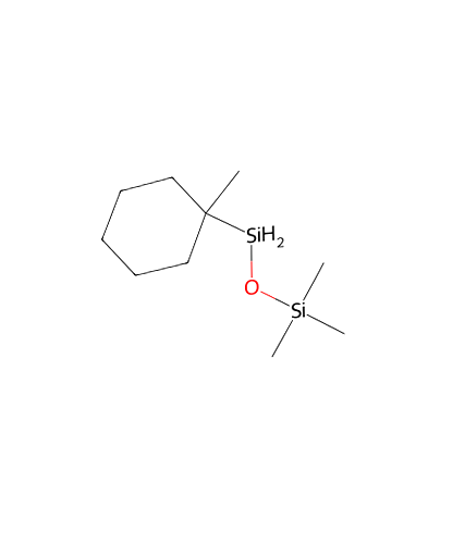 CC1([SiH2]O[Si](C)(C)C)CCCCC1